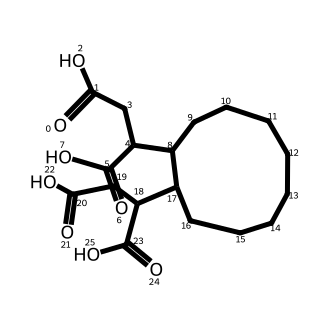 O=C(O)CC(C(=O)O)C1CCCCCCCCC1C(CC(=O)O)C(=O)O